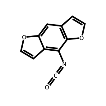 O=C=Nc1c2ccoc2cc2ccoc12